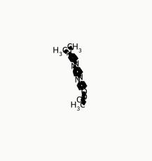 CCC(=O)OCOc1ccc(N=Nc2ccc(N=Nc3ccc(N(CC)CC)cc3)cc2)cc1